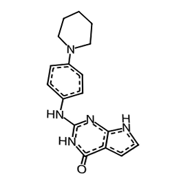 O=c1[nH]c(Nc2ccc(N3CCCCC3)cc2)nc2[nH]ccc12